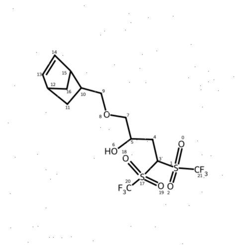 O=S(=O)(C(CC(O)COCC1CC2C=CC1C2)S(=O)(=O)C(F)(F)F)C(F)(F)F